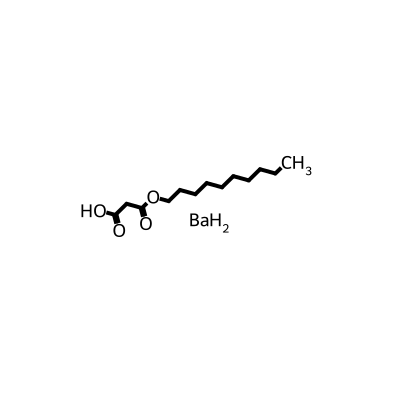 CCCCCCCCCCOC(=O)CC(=O)O.[BaH2]